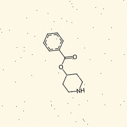 O=C(OC1CCNCC1)c1ccccc1